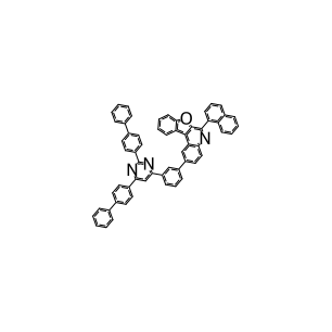 c1ccc(-c2ccc(-c3cc(-c4cccc(-c5ccc6nc(-c7cccc8ccccc78)c7oc8ccccc8c7c6c5)c4)nc(-c4ccc(-c5ccccc5)cc4)n3)cc2)cc1